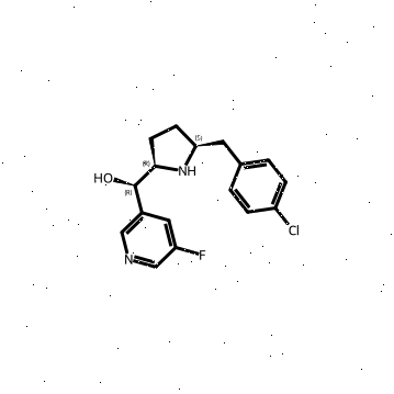 O[C@H](c1cncc(F)c1)[C@H]1CC[C@@H](Cc2ccc(Cl)cc2)N1